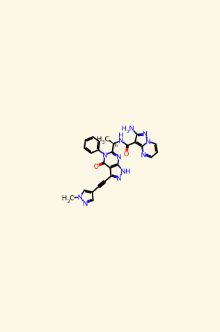 C[C@@H](NC(=O)c1c(N)nn2cccnc12)c1nc2[nH]nc(C#Cc3cnn(C)c3)c2c(=O)n1-c1ccccc1